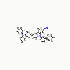 N#CC1=Cc2c(c3cc(C4C=Cc5c(c6ccccc6n5-c5ccccc5)C4)ccc3n2-c2cccc(-c3ccccc3)c2)CC1